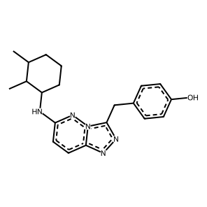 CC1CCCC(Nc2ccc3nnc(Cc4ccc(O)cc4)n3n2)C1C